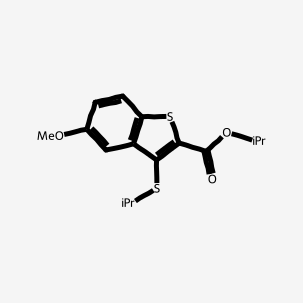 COc1ccc2sc(C(=O)OC(C)C)c(SC(C)C)c2c1